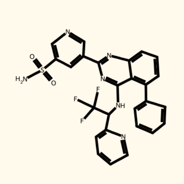 NS(=O)(=O)c1cncc(-c2nc(NC(c3ccccn3)C(F)(F)F)c3c(-c4ccccc4)cccc3n2)c1